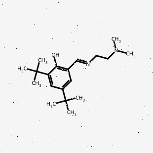 CN(C)CCN=Cc1cc(C(C)(C)C)cc(C(C)(C)C)c1O